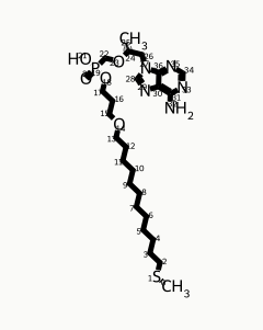 CSCCCCCCCCCCCCOCCCOP(=O)(O)CO[C@H](C)Cn1cnc2c(N)ncnc21